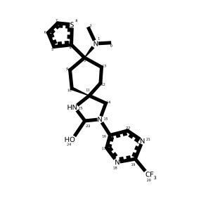 CN(C)[C@]1(c2cccs2)CC[C@@]2(CC1)CN(c1cnc(C(F)(F)F)nc1)C(O)N2